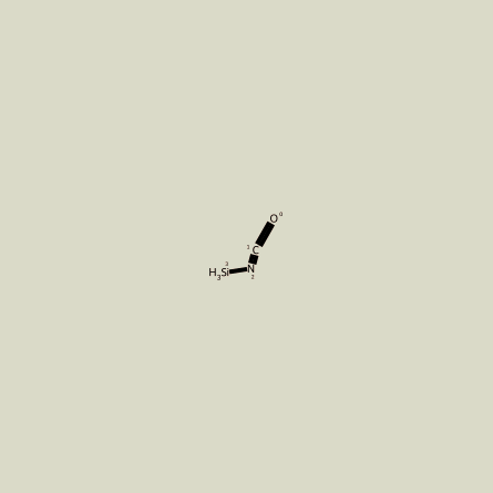 O=C=N[SiH3]